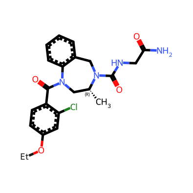 CCOc1ccc(C(=O)N2C[C@@H](C)N(C(=O)NCC(N)=O)Cc3ccccc32)c(Cl)c1